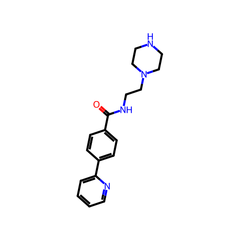 O=C(NCCN1CCNCC1)c1ccc(-c2ccccn2)cc1